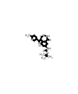 Cc1ccc(-c2[nH]c3cc(NC(=O)OC(C)(C)C)cc4c3c2C=NNC4=O)cn1